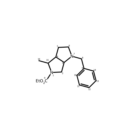 CCOC(=O)N1CC2C(CCN2Cc2ccccc2)C1C